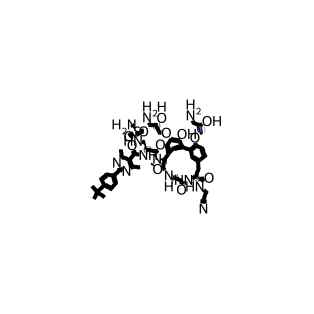 Cc1nc(-c2ccc(C(C)(C)C)cc2)nc(C)c1C(=O)N[C@@H](CNS(N)(=O)=O)C(=O)N(C)[C@@H]1C(=O)N[C@@H](C)C(=O)N[C@H](C(=O)NCC#N)Cc2ccc(O/C=C(/O)CN)c(c2)-c2cc1cc(OC[C@H](O)CN)c2O